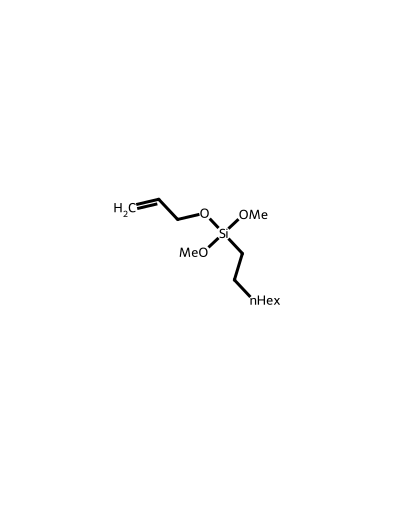 C=CCO[Si](CCCCCCCC)(OC)OC